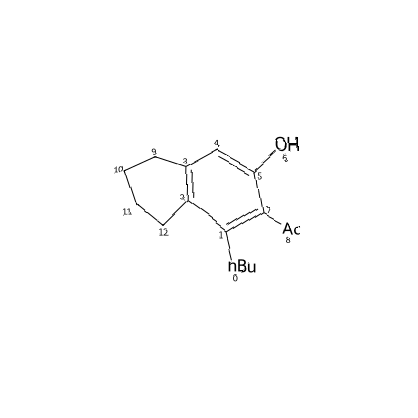 CCCCc1c2c(cc(O)c1C(C)=O)CCCC2